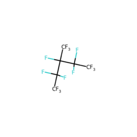 FC(F)(F)C(F)(F)C(F)(C(F)(F)F)C(F)(F)C(F)(F)F